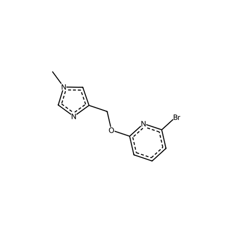 Cn1cnc(COc2cccc(Br)n2)c1